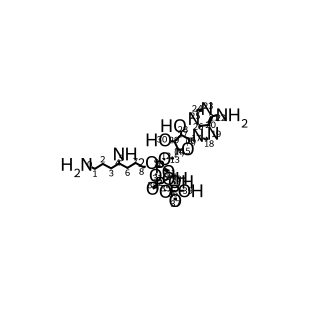 NCCCC(N)CCCOP(=O)(OC[C@H]1O[C@@H](n2cnc3c(N)ncnc32)C(O)C1O)OP(=O)(O)OP(=O)(O)O